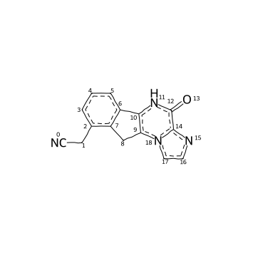 N#CCc1cccc2c1Cc1c-2[nH]c(=O)c2nccn12